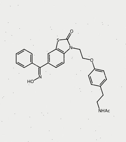 CC(=O)NCCc1ccc(OCCn2c(=O)sc3cc(C(=NO)c4ccccc4)ccc32)cc1